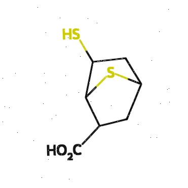 O=C(O)C1CC2CC(S)C1S2